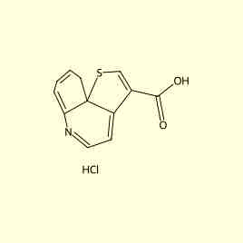 Cl.O=C(O)C1=CSC23CC=CC=C2N=CC=C13